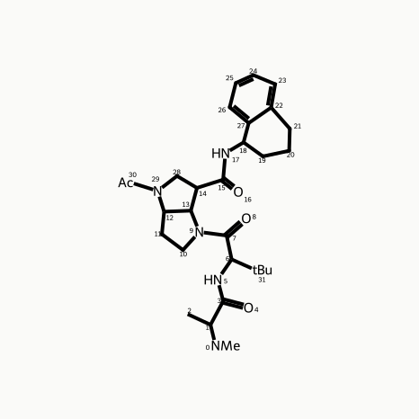 CNC(C)C(=O)NC(C(=O)N1CCC2C1C(C(=O)NC1CCCc3ccccc31)CN2C(C)=O)C(C)(C)C